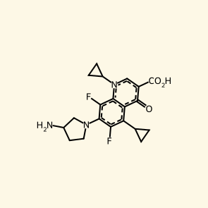 NC1CCN(c2c(F)c(C3CC3)c3c(=O)c(C(=O)O)cn(C4CC4)c3c2F)C1